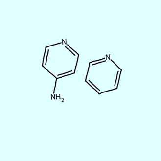 Nc1ccncc1.c1ccncc1